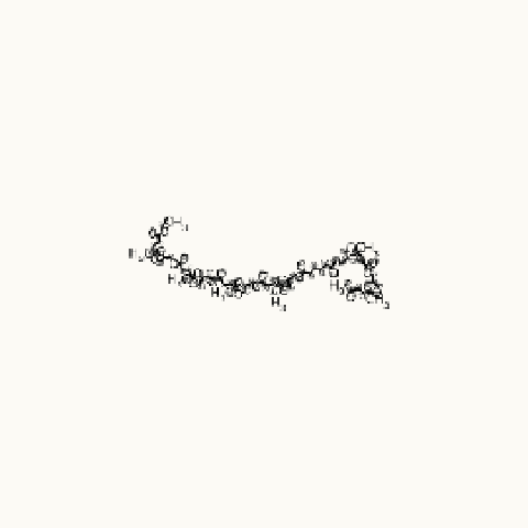 CCOC(=O)CCC1(C)OCC(COC(=O)CCC2(C)OCC(COC(=O)CCC3(C)OCC(COC(=O)CCC4(C)OCC(COC(=O)CCCCC(=O)OCC5COC(C)(CCC(=O)OCC6COC(C)(CCC(C)=O)O6)O5)O4)O3)O2)O1